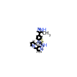 Cc1[nH]ncc1-c1ccc2nc(Nc3cc(CN4CCC[C@@H]4C)ccn3)sc2c1